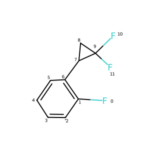 Fc1[c]cccc1C1CC1(F)F